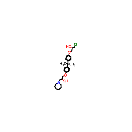 CC(C)(c1ccc(OC[C@H](O)CCl)cc1)c1ccc(OC[C@@H](O)CN2CCCCCC2)cc1